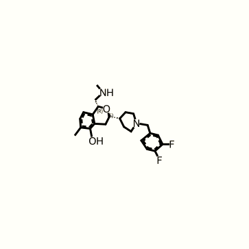 CNC[C@@H]1O[C@H](C2CCN(Cc3ccc(F)c(F)c3)CC2)Cc2c1ccc(C)c2O